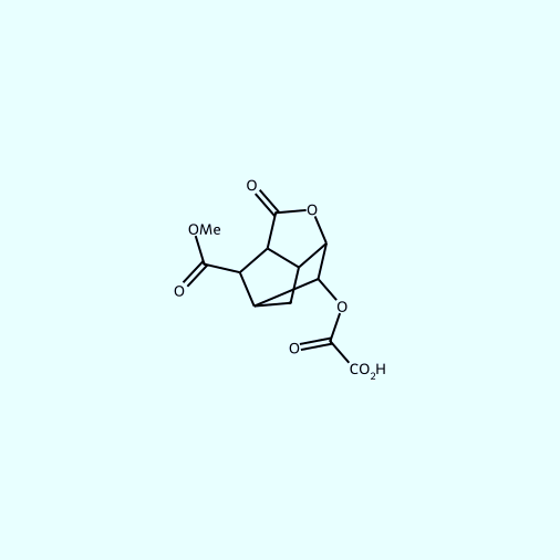 COC(=O)C1C2CC3C(OC(=O)C31)C2OC(=O)C(=O)O